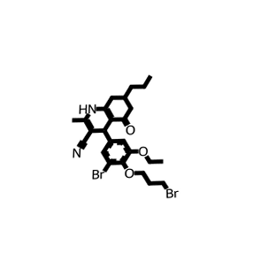 CCCC1CC(=O)C2=C(C1)NC(C)=C(C#N)C2c1cc(Br)c(OCCCBr)c(OCC)c1